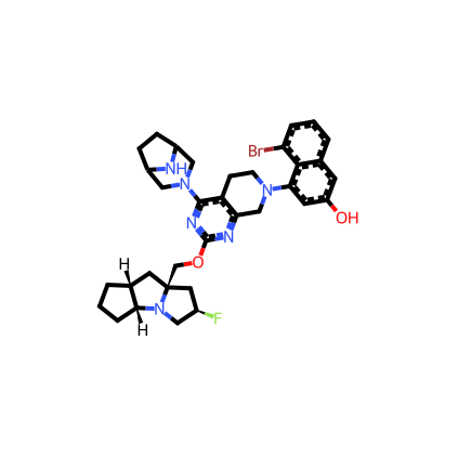 Oc1cc(N2CCc3c(nc(OC[C@@]45C[C@@H](F)CN4[C@@H]4CCC[C@@H]4C5)nc3N3CC4CCC(C3)N4)C2)c2c(Br)cccc2c1